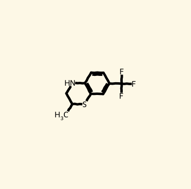 CC1CNc2ccc(C(F)(F)F)cc2S1